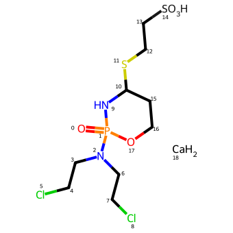 O=P1(N(CCCl)CCCl)NC(SCCS(=O)(=O)O)CCO1.[CaH2]